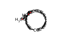 CCOC(=O)c1cccc(C2(O)CCCCCCCCCCCCCCCCCCCCCCCCCCCCCCCCCCCCCCCCCCCCCCCCC3(CC2)OCCO3)c1